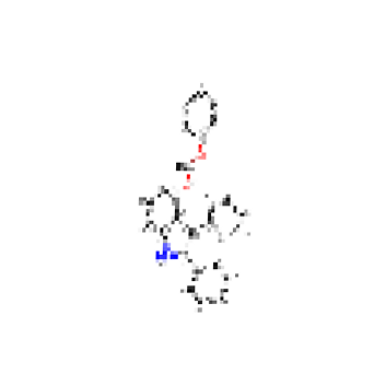 B(Oc1ccccc1)Oc1cccc2[nH]c(-c3ccccc3)c(-c3ccccc3)c12